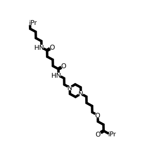 CC(C)CCCCNC(=O)CCCC(=O)NCCN1CCN(CCCCOCCC(=O)C(C)C)CC1